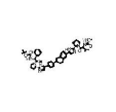 COC(=O)NC(C(=O)N1CCC[C@H]1c1ncc(-c2ccc3cc(-c4ccc(-c5cnc([C@@H]6CCCN6C(=O)[C@H](NC(=O)OC(C)(C)C)c6ccccc6)[nH]5)cc4)ccc3c2)[nH]1)C(C)C